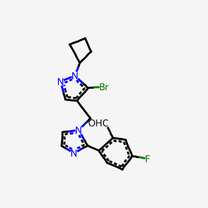 O=Cc1cc(F)ccc1-c1nccn1Cc1cnn(C2CCC2)c1Br